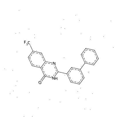 O=c1[nH]c(-c2cccc(-c3ccccc3)c2)nc2cc(C(F)(F)F)ccc12